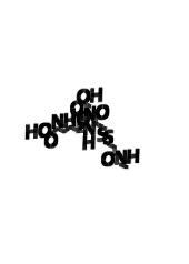 CCNC(=O)CCSSCC(NC(=O)CCCC(N)C(=O)O)C(=O)NCC(=O)O